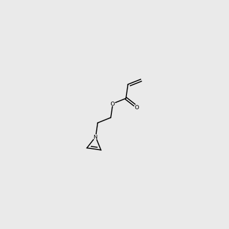 C=CC(=O)OCCN1C=C1